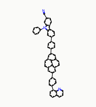 N#Cc1ccc2c3ccc(-c4ccc(-c5cc6ccc7cc(-c8ccc(-c9cccc%10cccnc9%10)cc8)cc8ccc(c5)c6c78)cc4)cc3n(-c3ccccc3)c2c1